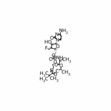 CC(C)OC(=O)[C@H](C)N[P@](=O)(OCCSC(=O)C(C)(C)C)OC[C@H]1O[C@@H](n2ccc(N)nc2=O)[C@H](O)[C@@H]1CF